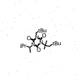 CC(C)C(C)n1c(=O)n(CC(C)(C)C)c(=O)n(C(C)(C)CC(C)(C)C)c1=O